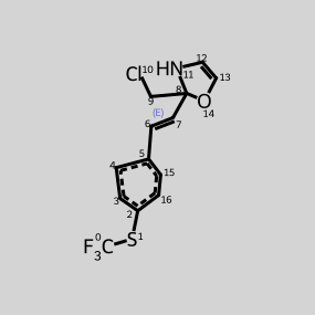 FC(F)(F)Sc1ccc(/C=C/C2(CCl)NC=CO2)cc1